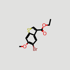 CCOC(=O)c1csc2cc(OC)c(Br)cc12